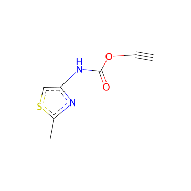 C#COC(=O)Nc1csc(C)n1